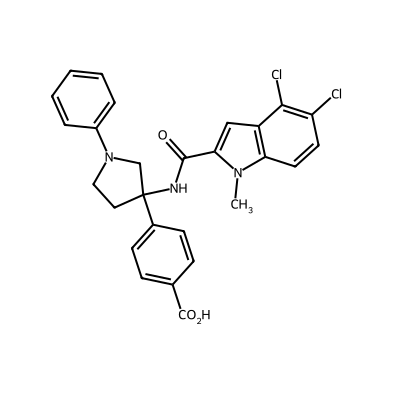 Cn1c(C(=O)NC2(c3ccc(C(=O)O)cc3)CCN(c3ccccc3)C2)cc2c(Cl)c(Cl)ccc21